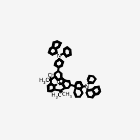 CC1(C)C2=c3c(c4c5n3-c3c1cccc3C(C)(C)C=5CC(c1ccc(N(C3=CCCC=C3)C3=c5ccccc5=CCC3)c3c1C=CCC3)C=4)=CC(c1ccc(N(c3ccccc3)c3cccc4ccccc34)cc1)C2